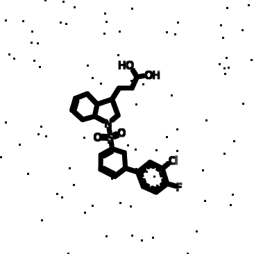 O=S(=O)(C1=CC=CC(c2ccc(F)c(Cl)c2)C1)N1CC(CCC(O)O)C2CC=CCC21